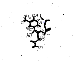 C=C(O)C(=C)C(=O)C1=C(O)[C@]2(O)C(=O)C(C(N)=O)=C(O)[C@@H](N(C)C)[C@@H]2C[C@@H]1[C@](C)(O)C(=C)/C=C\C